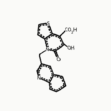 O=C(O)c1c(O)c(=O)n(Cc2cnc3ccccc3c2)c2ccsc12